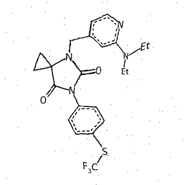 CCN(CC)c1cc(CN2C(=O)N(c3ccc(SC(F)(F)F)cc3)C(=O)C23CC3)ccn1